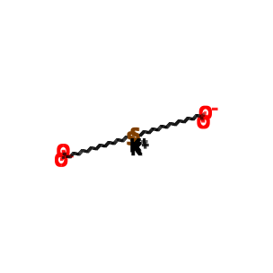 O=C([O-])CCCCCCCCCCCCCCSSCCCCCCCCCCCCCCC(=O)[O-].[K+].[K+]